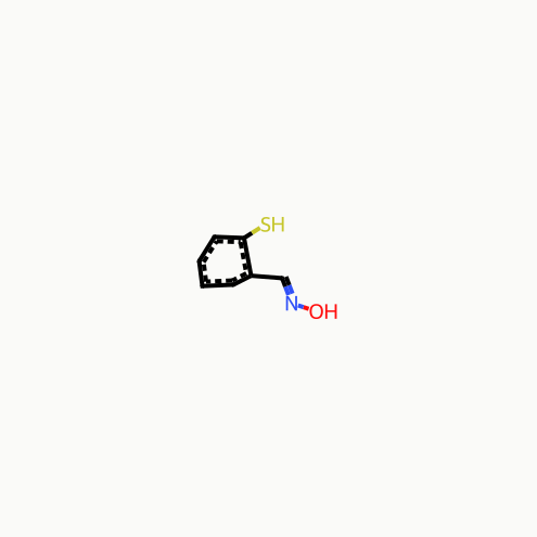 O/N=C/c1ccccc1S